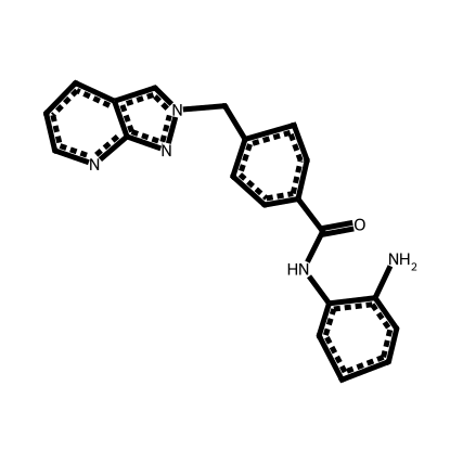 Nc1ccccc1NC(=O)c1ccc(Cn2cc3cccnc3n2)cc1